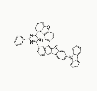 C1=c2oc3ccc(-c4cccc5c4sc4cc(-n6c7ccccc7c7ccccc76)ccc45)cc3c2=C(C2N=C(c3ccccc3)N=C(c3ccccc3)N2)CC1